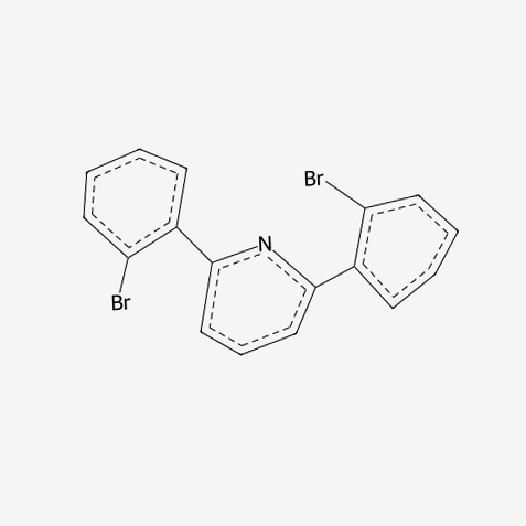 Brc1ccccc1-c1cccc(-c2ccccc2Br)n1